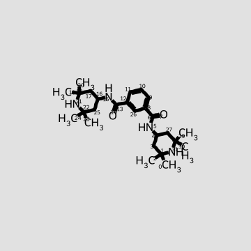 CC1(C)CC(NC(=O)c2cccc(C(=O)NC3CC(C)(C)NC(C)(C)C3)c2)CC(C)(C)N1